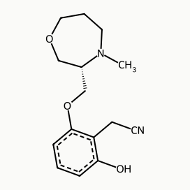 CN1CCCOC[C@H]1COc1cccc(O)c1CC#N